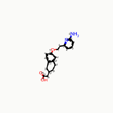 Nc1cccc(CCOc2ccc3c(c2)CCC(CC(=O)O)C3)n1